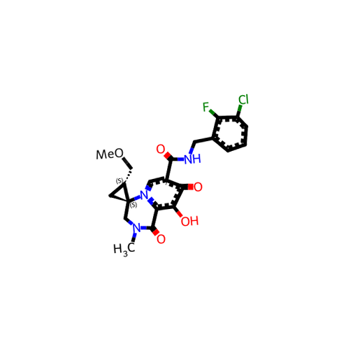 COC[C@H]1C[C@@]12CN(C)C(=O)c1c(O)c(=O)c(C(=O)NCc3cccc(Cl)c3F)cn12